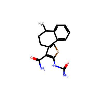 CC1CCc2c(sc(NC(N)=O)c2C(N)=O)-c2ccccc21